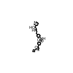 O=S(=O)(Nc1ccc(CCNCC(O)c2cccnc2)cc1)c1ccc(-c2cnc(C3CCC3)o2)cc1